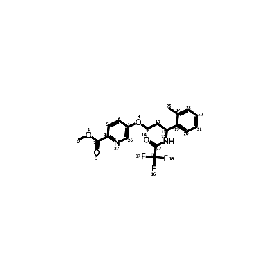 COC(=O)c1ccc(OCCC(NC(=O)C(F)(F)F)c2ccccc2C)cn1